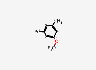 Cc1cc(OC(F)(F)F)cc(C(C)C)c1